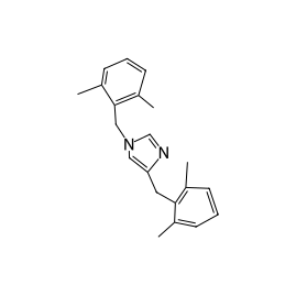 Cc1cccc(C)c1Cc1cn(Cc2c(C)cccc2C)cn1